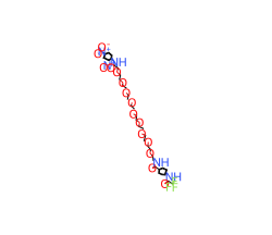 O=C(NCCOCCOCCOCCOCCOCCOCCOCCOCCOCCNc1ccc([N+](=O)[O-])cc1[N+](=O)[O-])c1ccc(NC(=O)C(F)(F)F)cc1